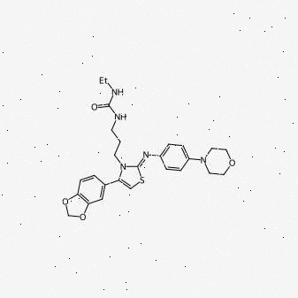 CCNC(=O)NCCCn1c(-c2ccc3c(c2)OCO3)cs/c1=N\c1ccc(N2CCOCC2)cc1